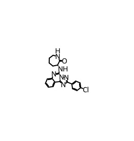 O=C1NCCCC[C@@H]1Nc1nc2ccccc2c2nc(-c3ccc(Cl)cc3)nn12